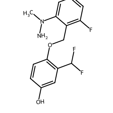 CN(N)c1cccc(F)c1COc1ccc(O)cc1C(F)F